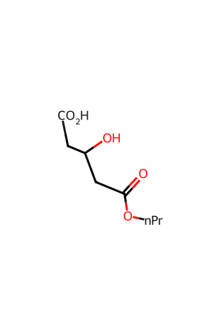 CCCOC(=O)CC(O)CC(=O)O